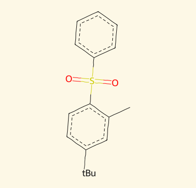 Cc1cc(C(C)(C)C)ccc1S(=O)(=O)c1ccccc1